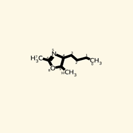 CCCCC1N=C(C)OC1C